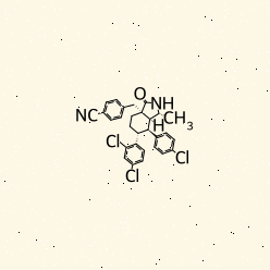 C[C@H]1NC(=O)[C@]2(Cc3ccc(C#N)cc3)CC[C@@H](c3ccc(Cl)cc3Cl)[C@H](c3ccc(Cl)cc3)[C@H]12